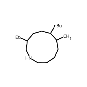 CCCCC1CCC(CC)CNCCCCC1C